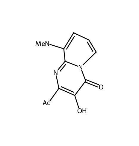 CNc1cccn2c(=O)c(O)c(C(C)=O)nc12